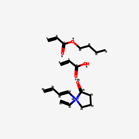 C=CC(=O)O.C=CC(=O)OCCCC.C=CC=C[N+]1(C=C)CCCC1=O